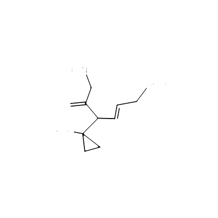 CCCCCCCCCC=CC(C(=O)CN)C1(C(=O)O)CC1